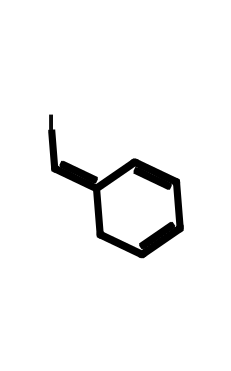 IC=C1C=CC=CC1